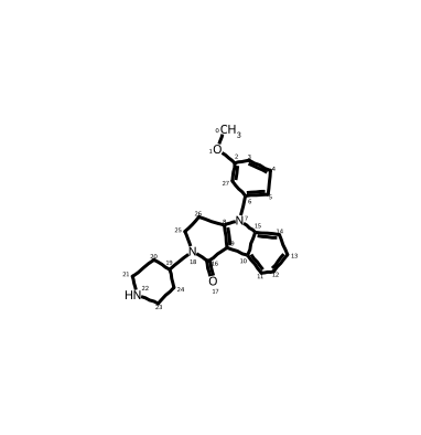 COc1cccc(-n2c3c(c4ccccc42)C(=O)N(C2CCNCC2)CC3)c1